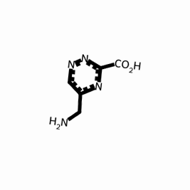 NCc1cnnc(C(=O)O)n1